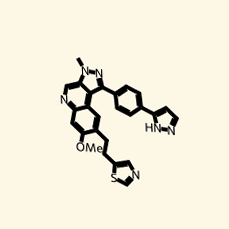 COc1cc2ncc3c(c(-c4ccc(-c5ccn[nH]5)cc4)nn3C)c2cc1CCc1cncs1